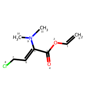 C=COC(=O)C(=CCCl)N(C)C